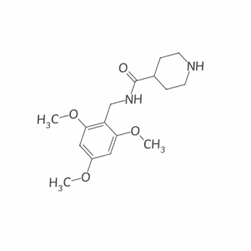 COc1cc(OC)c(CNC(=O)C2CCNCC2)c(OC)c1